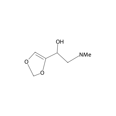 CNCC(O)C1=COCO1